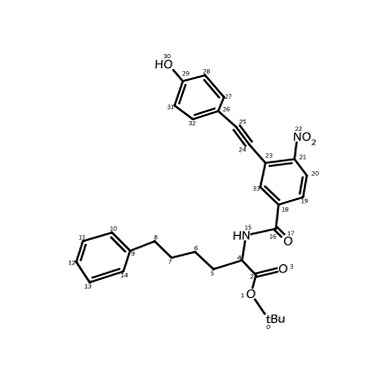 CC(C)(C)OC(=O)C(CCCCc1ccccc1)NC(=O)c1ccc([N+](=O)[O-])c(C#Cc2ccc(O)cc2)c1